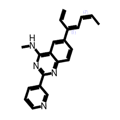 C=C/C(=C\C=C/C)c1ccc2nc(-c3cccnc3)nc(NC)c2c1